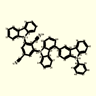 N#Cc1cc(-n2c3ccccc3c3ccccc32)c(C#N)c(-n2c3ccccc3c3c(-c4ccc5c(c4)c4ccccc4n5-c4ccccc4)cccc32)c1